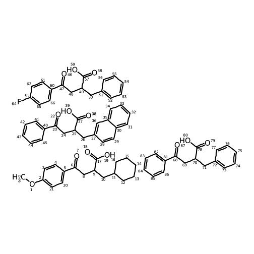 COc1ccc(C(=O)CC(CC2CCCCC2)C(=O)O)cc1.O=C(CC(Cc1ccc2ccccc2c1)C(=O)O)c1ccccc1.O=C(CC(Cc1ccccc1)C(=O)O)c1ccc(F)cc1.O=C(CC(Cc1ccccc1)C(=O)O)c1ccccc1